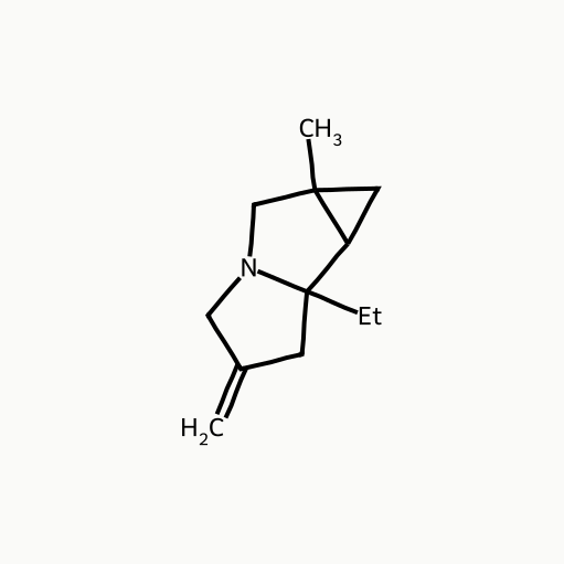 C=C1CN2CC3(C)CC3C2(CC)C1